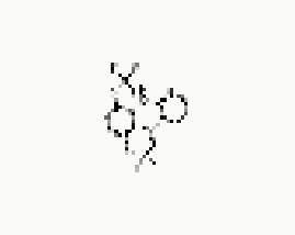 CC1(C)C=C(c2cccnc2O)c2cc(SC(F)(F)F)ccc2O1